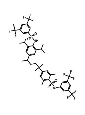 Cc1cc(C(C)(C)CCC(C)c2cc(C(C)C)c(NS(=O)(=O)c3cc(C(F)(F)F)cc(C(F)(F)F)c3)c(C(C)C)c2)cc(C)c1S(=O)(=O)Nc1cc(C(F)(F)F)cc(C(F)(F)F)c1